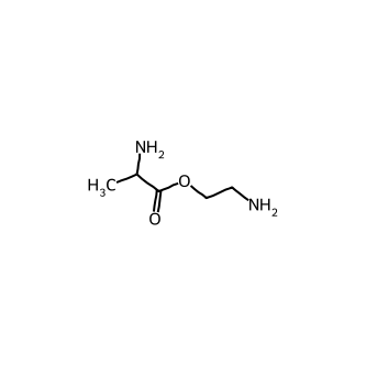 CC(N)C(=O)OCCN